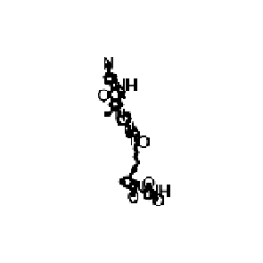 CCc1cc2c(cc1N1CCC(N3CCN(C(=O)CCCCC#Cc4cccc5c4CN(C4CCC(=O)NC4=O)C5=O)CC3)CC1)C(C)(C)c1[nH]c3cc(C#N)ccc3c1C2=O